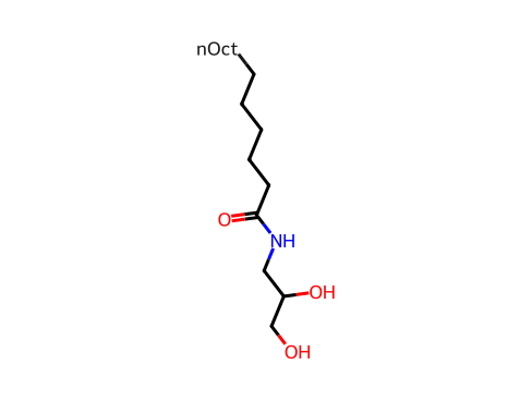 CCCCCCCCCCCCCC(=O)NCC(O)CO